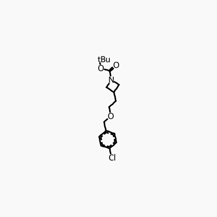 CC(C)(C)OC(=O)N1CC(CCOCc2ccc(Cl)cc2)C1